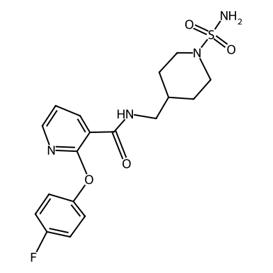 NS(=O)(=O)N1CCC(CNC(=O)c2cccnc2Oc2ccc(F)cc2)CC1